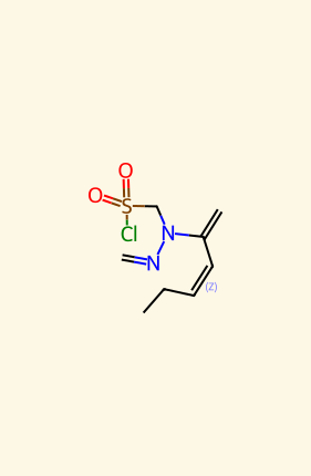 C=NN(CS(=O)(=O)Cl)C(=C)/C=C\CC